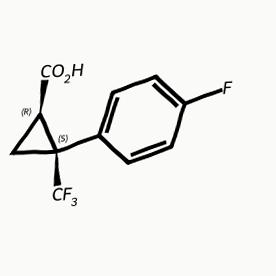 O=C(O)[C@@H]1C[C@]1(c1ccc(F)cc1)C(F)(F)F